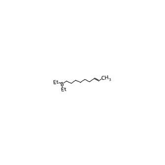 CC=CCCCCCCB(CC)CC